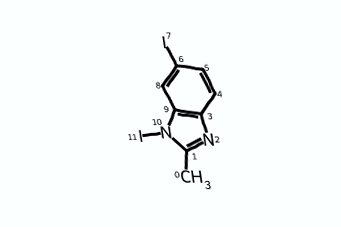 Cc1nc2ccc(I)cc2n1I